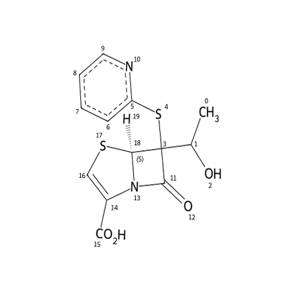 CC(O)C1(Sc2ccccn2)C(=O)N2C(C(=O)O)=CS[C@H]21